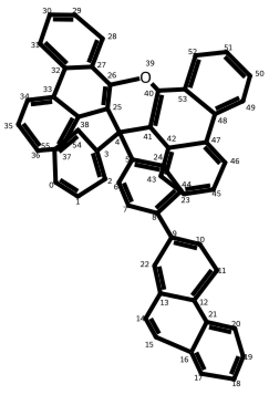 c1ccc(C2(c3ccc(-c4ccc5c(ccc6ccccc65)c4)cc3)c3c(c4ccccc4c4ccccc34)Oc3c2c2ccccc2c2ccccc32)cc1